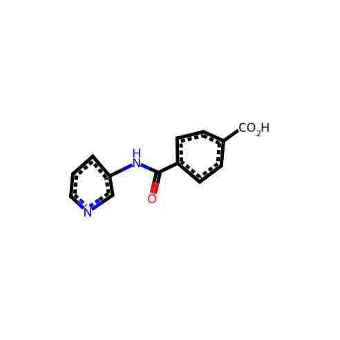 O=C(O)c1ccc(C(=O)Nc2cccnc2)cc1